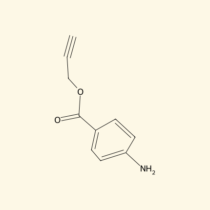 C#CCOC(=O)c1ccc(N)cc1